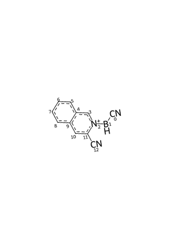 N#CB[n+]1cc2ccccc2cc1C#N